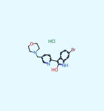 Cl.Oc1[nH]c2cc(Br)ccc2c1-c1ccc(CN2CCOCC2)cn1